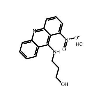 Cl.O=[N+]([O-])c1cccc2nc3ccccc3c(NCCCO)c12